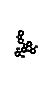 N#Cc1cccc(C#N)c1-c1ccc2c3c(-c4c(C#N)cccc4C#N)cccc3n(-c3ccc4oc5ccccc5c4c3)c2c1